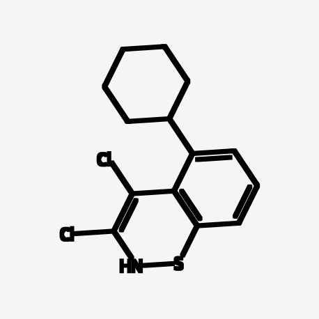 ClC1=C(Cl)c2c(cccc2C2CCCCC2)SN1